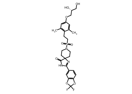 Cc1cc(OC[C@H](O)CO)cc(C)c1CCS(=O)(=O)N1CCC2(CC1)N=C(c1ccc3c(c1)OC(F)(F)O3)NC2=O